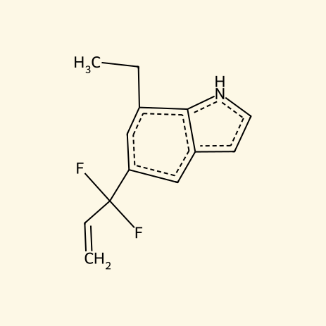 C=CC(F)(F)c1cc(CC)c2[nH]ccc2c1